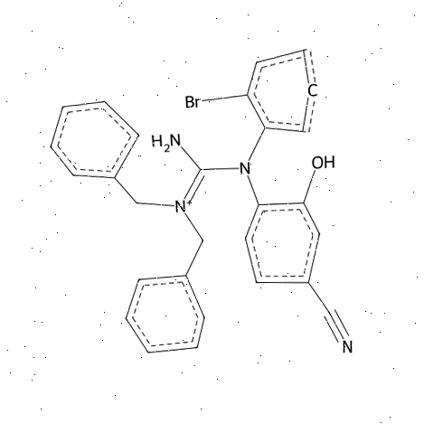 N#Cc1ccc(N(C(N)=[N+](Cc2ccccc2)Cc2ccccc2)c2ccccc2Br)c(O)c1